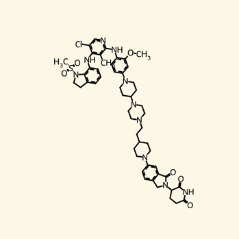 COc1cc(N2CCC(N3CCN(CCC4CCN(c5ccc6c(c5)C(=O)N(C5CCC(=O)NC5=O)C6)CC4)CC3)CC2)ccc1Nc1ncc(Cl)c(Nc2cccc3c2N(S(C)(=O)=O)CC3)c1C